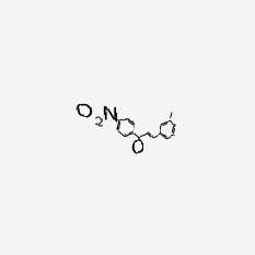 Cc1cccc(C=CC(=O)c2ccc([N+](=O)[O-])cc2)c1